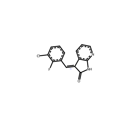 O=C1Nc2ncccc2/C1=C\c1cccc(Cl)c1F